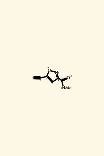 C#Cc1cc(C(=O)NC)no1